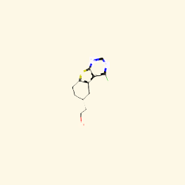 OCC[C@H]1CCc2sc3ncnc(Cl)c3c2C1